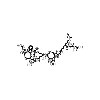 CCOC(C)SCC(=O)CC(CCCC(=O)N[C@@H](C)C(=O)C[C@H]1CSSC[C@@H](C(=O)N[C@@H](CCCNC(=N)N)C(=O)CCC(=O)N[C@@H](CC(=O)O)C(=O)C[C@H]2CSSC[C@@H](C(=O)NCC(=O)O)CC(=O)[C@H](Cc3ccccc3)NC2=O)CC(=O)[C@H](CC(=O)O)NC1=O)C(=O)NCC(=O)NCC(=O)O